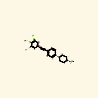 CCC[C@H]1CC[C@H](c2ccc(C#Cc3cc(F)c(F)c(F)c3)cc2)CC1